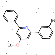 CCOc1cc(-c2ccccc2)nc(-c2cccc(CC)c2)c1